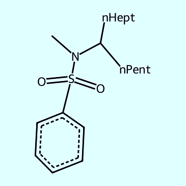 CCCCCCCC(CCCCC)N(C)S(=O)(=O)c1ccccc1